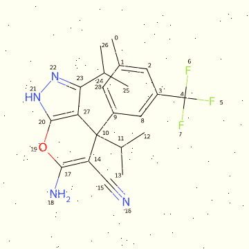 Cc1cc(C(F)(F)F)cc(C2(C(C)C)C(C#N)=C(N)Oc3[nH]nc(C(C)C)c32)c1